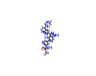 CN1CCN(c2ccnc3[nH]c(-c4n[nH]c5cnc(-c6cncc(NC(=O)C7CC7)c6)cc45)cc23)CC1